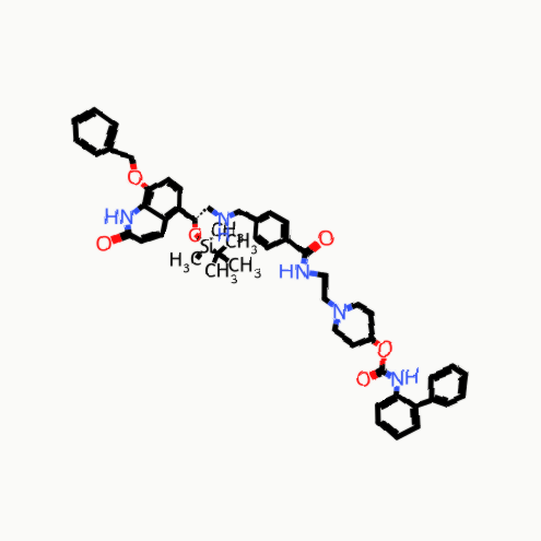 CC(C)(C)[Si](C)(C)O[C@@H](CNCc1ccc(C(=O)NCCN2CCC(OC(=O)Nc3ccccc3-c3ccccc3)CC2)cc1)c1ccc(OCc2ccccc2)c2[nH]c(=O)ccc12